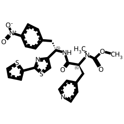 COC(=O)N(C)[C@@H](Cc1ccncc1)C(=O)N[C@@H](Cc1ccc([N+](=O)[O-])cc1)c1csc(-c2cccs2)n1